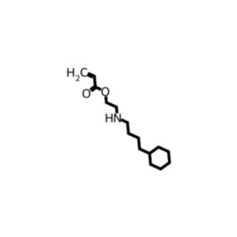 C=CC(=O)OCCNCCCCC1CCCCC1